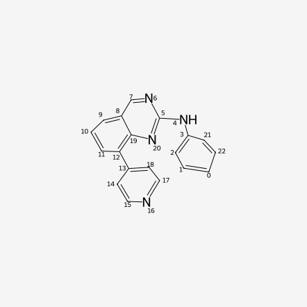 c1ccc(Nc2ncc3cccc(-c4ccncc4)c3n2)cc1